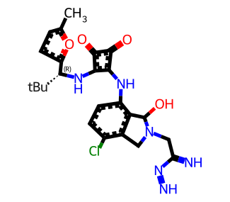 Cc1ccc([C@H](Nc2c(Nc3ccc(Cl)c4c3C(O)N(CC(=N)N=N)C4)c(=O)c2=O)C(C)(C)C)o1